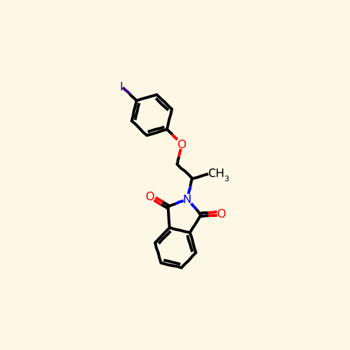 CC(COc1ccc(I)cc1)N1C(=O)c2ccccc2C1=O